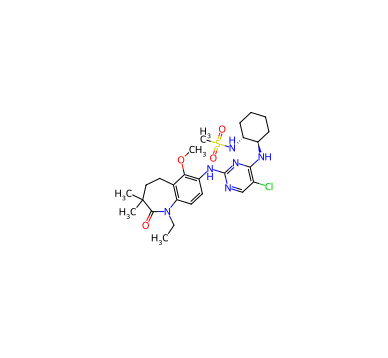 CCN1C(=O)C(C)(C)CCc2c1ccc(Nc1ncc(Cl)c(N[C@@H]3CCCC[C@H]3NS(C)(=O)=O)n1)c2OC